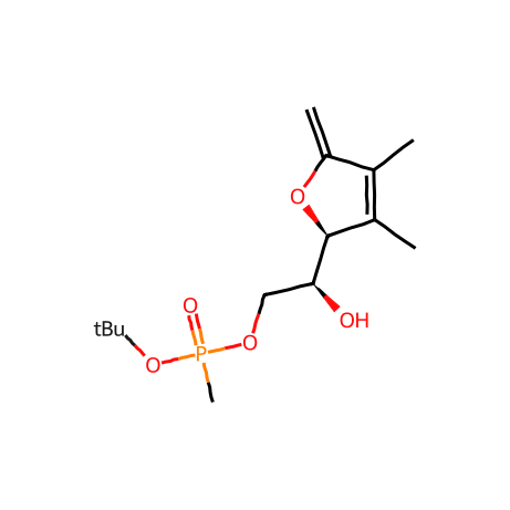 C=C1O[C@H]([C@@H](O)COP(C)(=O)OC(C)(C)C)C(C)=C1C